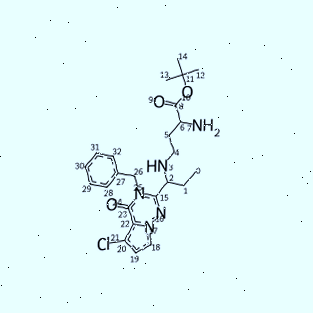 CCC(NCCC(N)C(=O)OC(C)(C)C)c1nn2ccc(Cl)c2c(=O)n1Cc1ccccc1